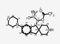 CC(C)(C)[S+]([O-])N(OC(=O)C(F)(F)F)[C@@H]1c2cc(N3CCOCC3)ccc2CC12CCNCC2